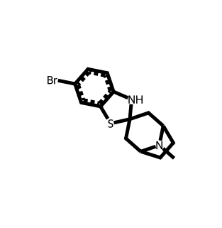 CN1C2CCC1CC1(C2)Nc2ccc(Br)cc2S1